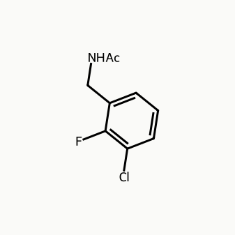 [CH2]C(=O)NCc1cccc(Cl)c1F